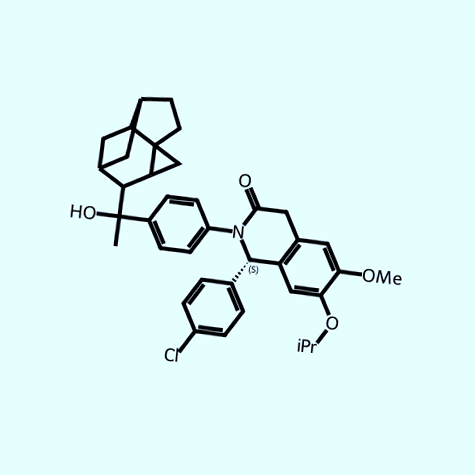 COc1cc2c(cc1OC(C)C)[C@H](c1ccc(Cl)cc1)N(c1ccc(C(C)(O)C3C4CC5CCC6(CC36)C5C4)cc1)C(=O)C2